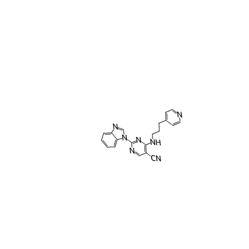 N#Cc1cnc(-n2cnc3ccccc32)nc1NCCCc1ccncc1